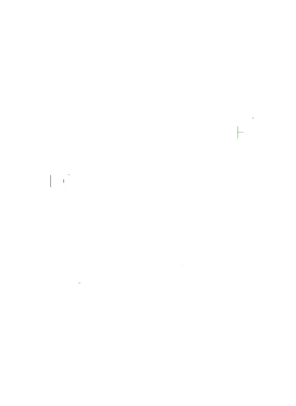 Cc1cc(F)ccc1I